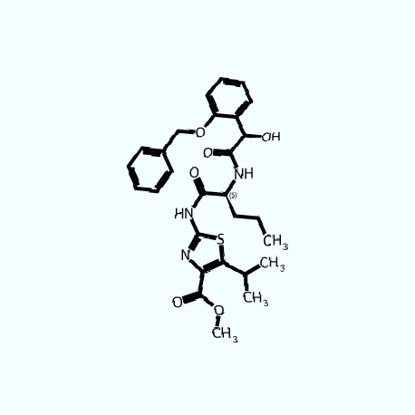 CCC[C@H](NC(=O)C(O)c1ccccc1OCc1ccccc1)C(=O)Nc1nc(C(=O)OC)c(C(C)C)s1